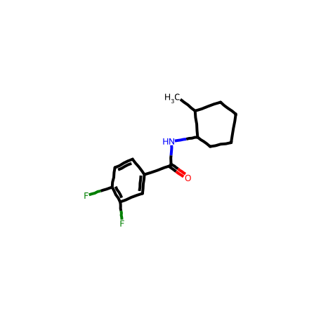 CC1CCCCC1NC(=O)c1ccc(F)c(F)c1